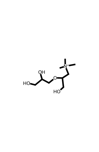 C[N+](C)(C)CC(CO)OCC(O)CO